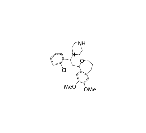 COc1cc2c(cc1OC)C(CC(c1ccccc1Cl)N1CCNCC1)OCCC2